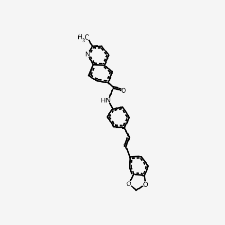 Cc1ccc2cc(C(=O)Nc3ccc(/C=C/c4ccc5c(c4)OCO5)cc3)ccc2n1